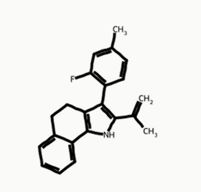 C=C(C)c1[nH]c2c(c1-c1ccc(C)cc1F)CCc1ccccc1-2